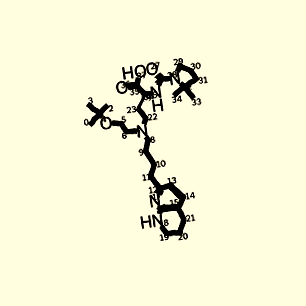 CC(C)(C)OCCN(CCCCc1ccc2c(n1)NCCC2)CC[C@H](NC(=O)N1CCCC1(C)C)C(=O)O